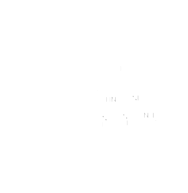 CC(C)(F)C1NC(N)NC(NC(CCCC2CCCCC2)C2CC2)N1